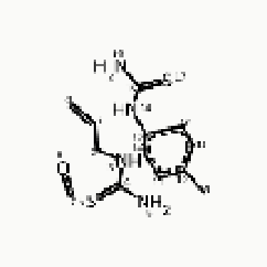 C=CCNC(N)=S.C=O.Cc1ccc(NC(N)=S)cc1